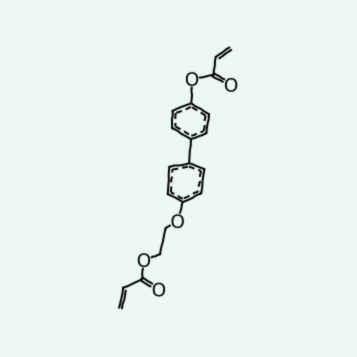 C=CC(=O)OCCOc1ccc(-c2ccc(OC(=O)C=C)cc2)cc1